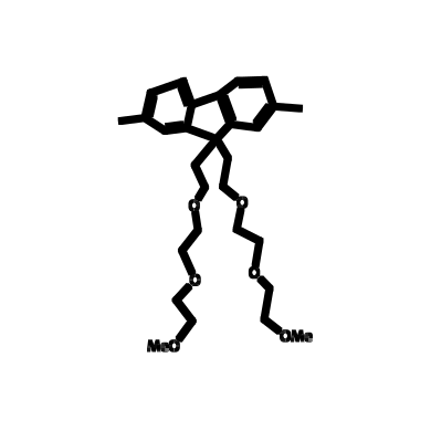 COCCOCCOCCC1(CCOCCOCCOC)c2cc(C)ccc2-c2ccc(C)cc21